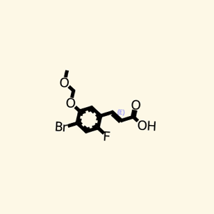 COCOc1cc(/C=C/C(=O)O)c(F)cc1Br